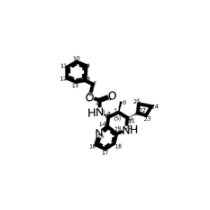 C[C@@H]1[C@@H](NC(=O)OCc2ccccc2)c2ncccc2N[C@H]1C1CCC1